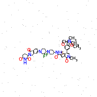 COc1cc(-c2cn(C)c(=O)c3cc(C(=O)NC4CCN(C5CCN(c6ccc7c(c6)CN(C6CCC(=O)NC6=O)C7=O)CC5(F)F)CC4)sc23)cc(OC)c1CN(C)C